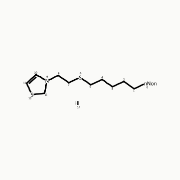 CCCCCCCCCCCCCCSCCN1C=CSC1.I